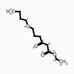 CCCCOCCCC(=O)CC(=O)OCC